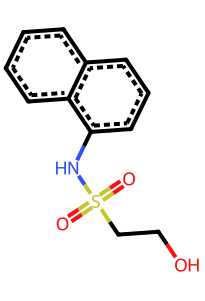 O=S(=O)(CCO)Nc1cccc2ccccc12